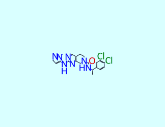 C[C@@H](NC(=O)N1CCc2cnc(Nc3ccnn3C)nc2C1)c1ccc(Cl)c(Cl)c1